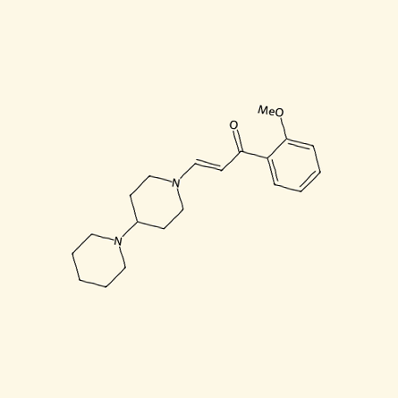 COc1ccccc1C(=O)C=CN1CCC(N2CCCCC2)CC1